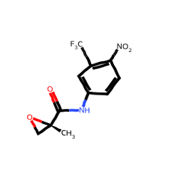 C[C@@]1(C(=O)Nc2ccc([N+](=O)[O-])c(C(F)(F)F)c2)CO1